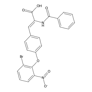 O=C(O)C(=Cc1ccc(Oc2c(Br)cccc2[N+](=O)[O-])cc1)NC(=O)c1ccccc1